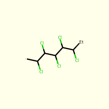 [CH2]CC(Cl)C(Cl)C(Cl)C(Cl)C([CH2])Cl